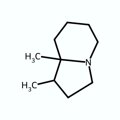 CC1CCN2CCCCC12C